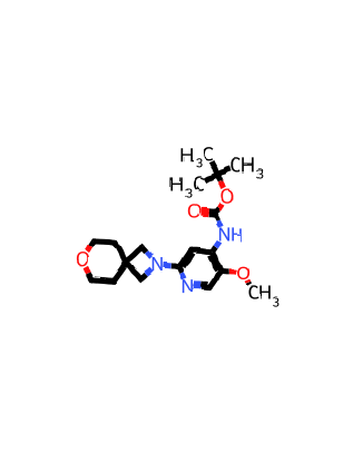 COc1cnc(N2CC3(CCOCC3)C2)cc1NC(=O)OC(C)(C)C